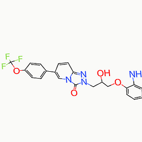 Nc1ccccc1OCC(O)Cn1nc2ccc(-c3ccc(OC(F)(F)F)cc3)cn2c1=O